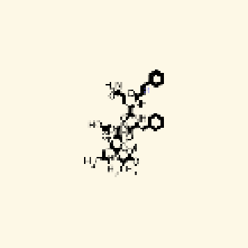 CC(C)C[C@H](NC(=O)[C@H](CC(=O)O)NC(=O)[C@H](CC1CCCCC1)NC(=O)[C@H](CCC(N)=O)NC(=O)/C=C/c1ccccc1)C(=O)N[C@@H](C)C(=O)OI